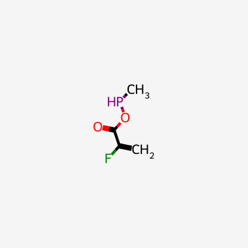 C=C(F)C(=O)OPC